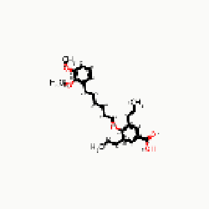 CCCc1cc(C(=O)O)cc(CCC)c1OCCCCCCc1cccc(OC)c1OC